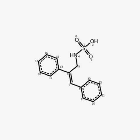 O=S(=O)(O)NCC(=Cc1ccccc1)c1ccccc1